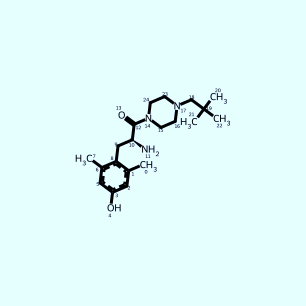 Cc1cc(O)cc(C)c1C[C@H](N)C(=O)N1CCN(CC(C)(C)C)CC1